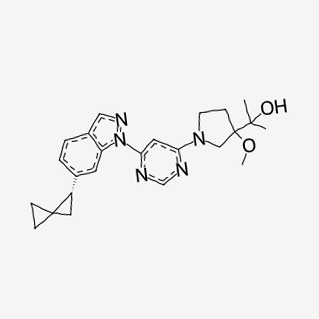 COC1(C(C)(C)O)CCN(c2cc(-n3ncc4ccc([C@@H]5CC56CC6)cc43)ncn2)C1